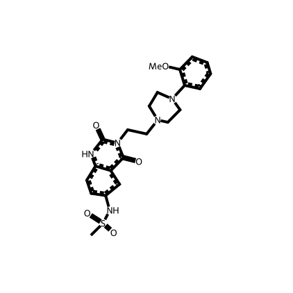 COc1ccccc1N1CCN(CCn2c(=O)[nH]c3ccc(NS(C)(=O)=O)cc3c2=O)CC1